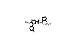 COc1ncc(C(=O)N[C@@H](CC(=O)O)c2ccccc2C)cc1-c1cccc(F)c1